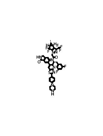 C[C@@H]1[C@@H]2c3c(C(F)(F)F)nn(CC(=O)N[C@@H](Cc4cc(F)cc(F)c4)c4nc5nc(-c6ccc(N7CCNCC7)cc6)sc5cc4-c4ccc5c(c4)C(=O)NC5)c3C(F)(F)[C@H]12